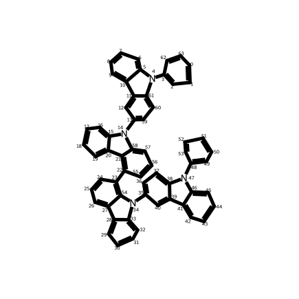 c1ccc(-n2c3ccccc3c3cc(-n4c5ccccc5c5c(-c6cccc7c8ccccc8n(-c8ccc9c(c8)c8ccccc8n9-c8ccccc8)c67)cccc54)ccc32)cc1